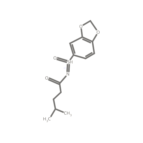 CC(C)CCC(=O)/N=[SH](=O)/c1ccc2c(c1)OCO2